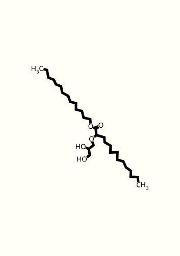 CCCCCCCCCCCCCCOC(=O)C(CCCCCCCCCCCC)OCC(O)CO